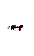 CC(C)n1ncc2c(NCCCCC=C(c3ccccc3)c3ccccc3)ncnc21